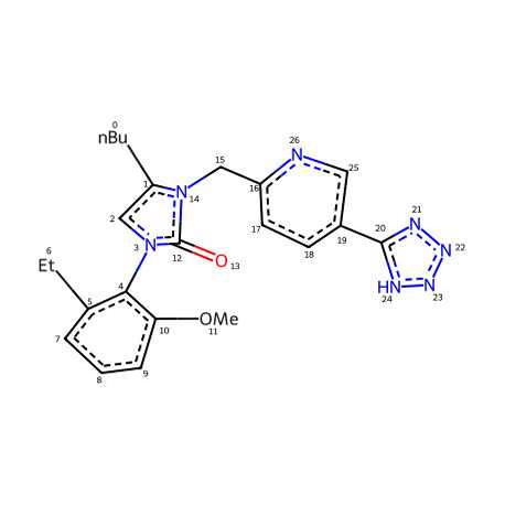 CCCCc1cn(-c2c(CC)cccc2OC)c(=O)n1Cc1ccc(-c2nnn[nH]2)cn1